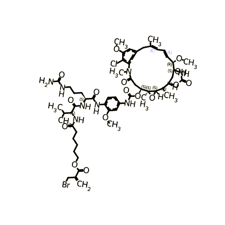 C=C(CBr)C(=O)OCCCCCC(=O)N[C@H](C(=O)N[C@@H](CCCNC(N)=O)C(=O)Nc1ccc(NC(=O)O[C@H]2CC(=O)N(C)c3cc(cc(OC)c3Cl)C/C(C)=C/C=C/[C@@H](OC)[C@@]3(O)C[C@H](OC(=O)N3)[C@@H](C)[C@@H]3O[C@@]23C)cc1OC)C(C)C